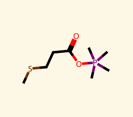 CSCCC(=O)OP(C)(C)(C)C